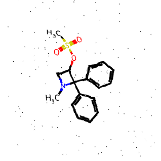 CN1CC(OS(C)(=O)=O)C1(c1ccccc1)c1ccccc1